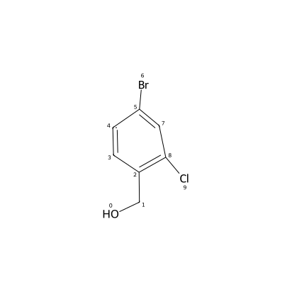 OCc1c[c]c(Br)cc1Cl